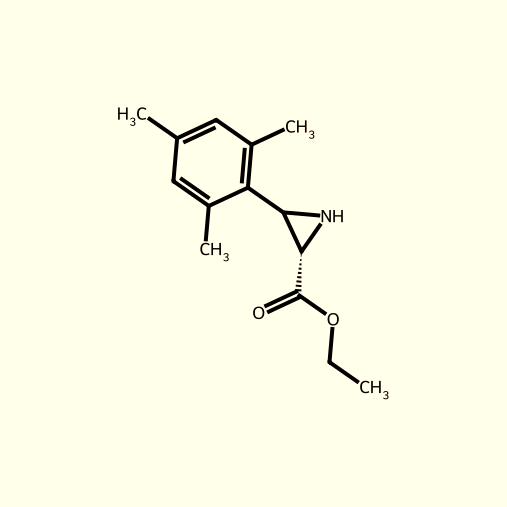 CCOC(=O)[C@H]1NC1c1c(C)cc(C)cc1C